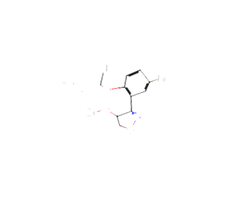 CCOC(=O)[C@@H](Oc1ccc(Br)cc1C1=NOCC1OCC)C(C)C